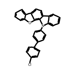 Clc1ccc(-c2ccc(-n3c4ccccc4c4ccc5c6ccccc6oc5c43)cc2)cc1